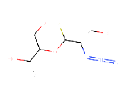 C[C@H](O)C(CO)OC(S)[C@H](CO)N=[N+]=[N-]